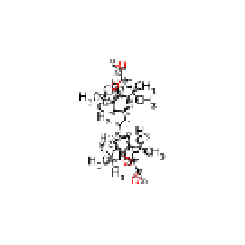 CC(C)(C)c1cc(CCc2cc(C(C)(C)C)c(OCC3CO3)c(C(C)(C)C)c2)cc(C(C)(C)C)c1OCC1CO1